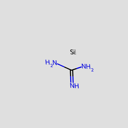 N=C(N)N.[Si]